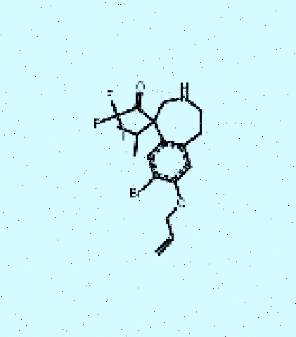 C=CCOc1cc2c(cc1Br)C(C(=O)C(F)(F)F)(C(C)C)CNCC2